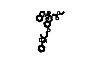 CCOC(=O)CN(Cc1cccc(OCCc2nc(-c3ccccc3)oc2C)c1)S(=O)(=O)N1CCc2ccccc21